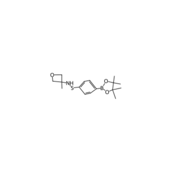 CC1(NSc2ccc(B3OC(C)(C)C(C)(C)O3)cc2)COC1